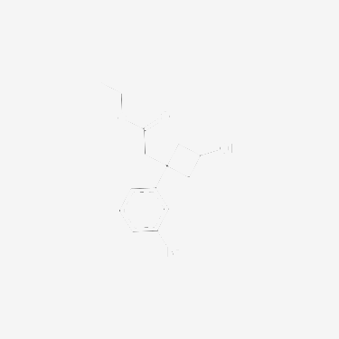 CCOC(=O)CC1(c2cccc(Br)c2)CC(O)C1